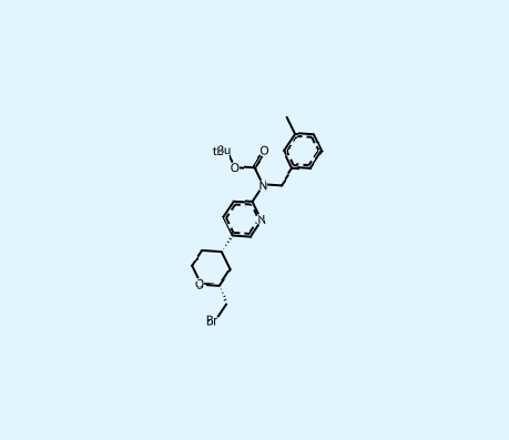 Cc1cccc(CN(C(=O)OC(C)(C)C)c2ccc([C@H]3CCO[C@@H](CBr)C3)cn2)c1